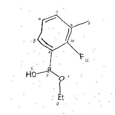 CCOB(O)c1cccc(C)c1F